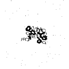 COc1cccc(CCN(C(=O)c2cc3ccccc3oc2=O)C2C=C(C(=O)NCCO)C3C4=C(CCC=C4)OC3[C@H]2O)c1